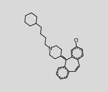 Clc1ccc2c(c1)C(=C1CCN(CCCCC3CCCCC3)CC1)c1ccccc1C=C2